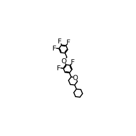 Fc1cc(COc2c(F)cc(C3CCC(C4CCCCC4)CO3)cc2F)cc(F)c1F